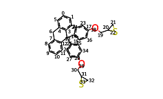 c1ccc2c(c1)Cc1ccccc1C2(c1ccc(OCC2CS2)cc1)c1ccc(OCC2CS2)cc1